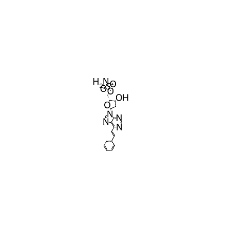 NS(=O)(=O)OC[C@H]1O[C@@H](n2cnc3c(C=Cc4ccccc4)ncnc32)C[C@@H]1O